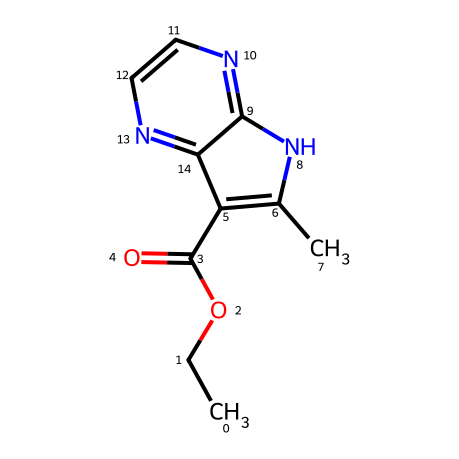 CCOC(=O)c1c(C)[nH]c2nccnc12